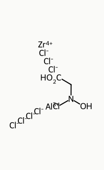 O=C(O)CN(O)Cl.[Al+3].[Cl-].[Cl-].[Cl-].[Cl-].[Cl-].[Cl-].[Cl-].[Zr+4]